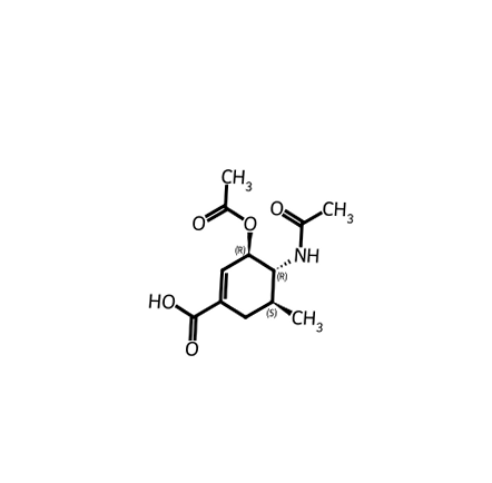 CC(=O)N[C@@H]1[C@@H](C)CC(C(=O)O)=C[C@H]1OC(C)=O